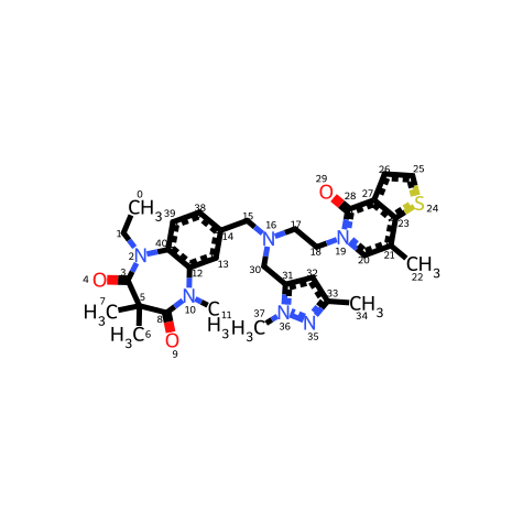 CCN1C(=O)C(C)(C)C(=O)N(C)c2cc(CN(CCn3cc(C)c4sccc4c3=O)Cc3cc(C)nn3C)ccc21